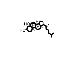 CC(C)CCC[C@@H](C)[C@H]1CC[C@H]2[C@@H]3C=C[C@@]4(O)C[C@@H](O)CC[C@]4(C)[C@H]3CC[C@]12C